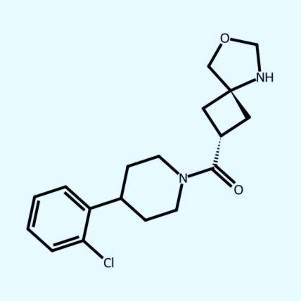 O=C([C@H]1C[C@]2(COCN2)C1)N1CCC(c2ccccc2Cl)CC1